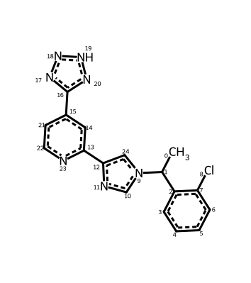 CC(c1ccccc1Cl)n1cnc(-c2cc(-c3nn[nH]n3)ccn2)c1